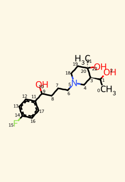 CC(O)[C@H]1CN(CCCC(O)c2ccc(F)cc2)CC[C@@]1(C)O